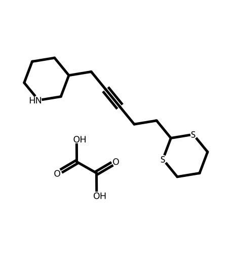 C(#CCC1CCCNC1)CCC1SCCCS1.O=C(O)C(=O)O